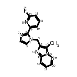 Cc1c(Cn2ccnc2-c2cccc(F)n2)nc2cccnn12